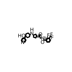 O=C(NCC(=O)N1CCC(NC2CCC(O)(c3ccncc3)CC2)C1)c1cccc(C(F)(F)F)c1